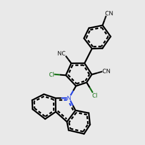 N#Cc1ccc(-c2c(C#N)c(Cl)c(-n3c4ccccc4c4ccccc43)c(Cl)c2C#N)cc1